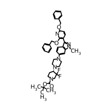 Cn1nc(-c2ccc(OCc3ccccc3)nc2OCc2ccccc2)c2ccc(N3CCN([C@H]4CCN(C(=O)OC(C)(C)C)CC4(F)F)CC3)cc21